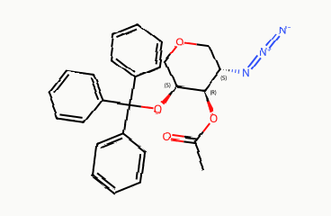 CC(=O)O[C@@H]1[C@@H](N=[N+]=[N-])COC[C@@H]1OC(c1ccccc1)(c1ccccc1)c1ccccc1